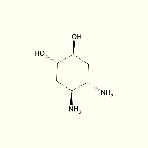 N[C@H]1C[C@H](O)[C@@H](O)C[C@@H]1N